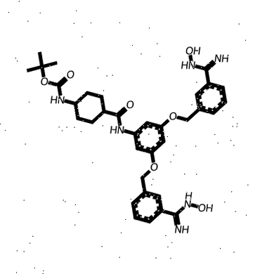 CC(C)(C)OC(=O)NC1CCC(C(=O)Nc2cc(OCc3cccc(C(=N)NO)c3)cc(OCc3cccc(C(=N)NO)c3)c2)CC1